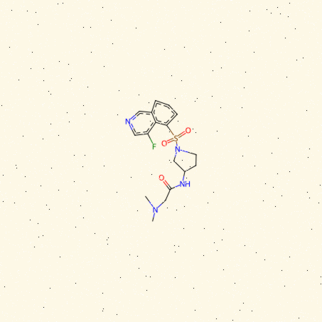 CN(C)CC(=O)NC1CCN(S(=O)(=O)c2cccc3cncc(F)c23)C1